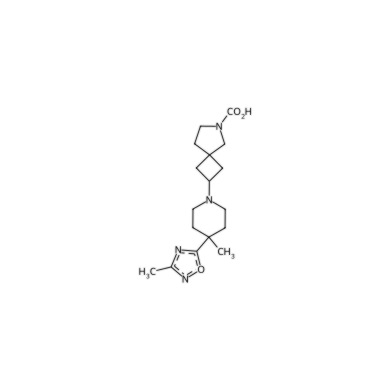 Cc1noc(C2(C)CCN(C3CC4(CCN(C(=O)O)C4)C3)CC2)n1